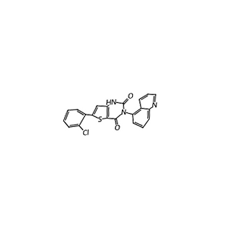 O=c1[nH]c2cc(-c3ccccc3Cl)sc2c(=O)n1-c1cccc2ncccc12